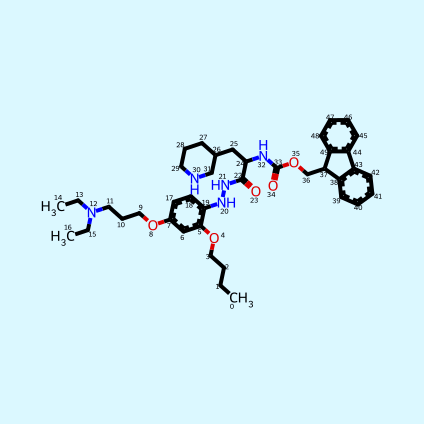 CCCCOc1cc(OCCCN(CC)CC)ccc1NNC(=O)C(CC1CCCNC1)NC(=O)OCC1c2ccccc2-c2ccccc21